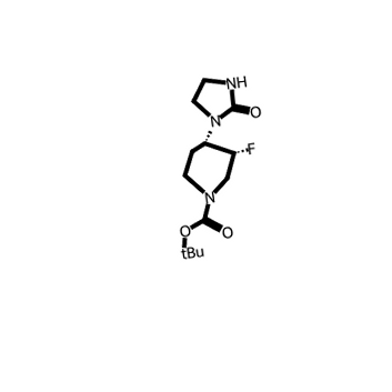 CC(C)(C)OC(=O)N1CC[C@H](N2CCNC2=O)[C@H](F)C1